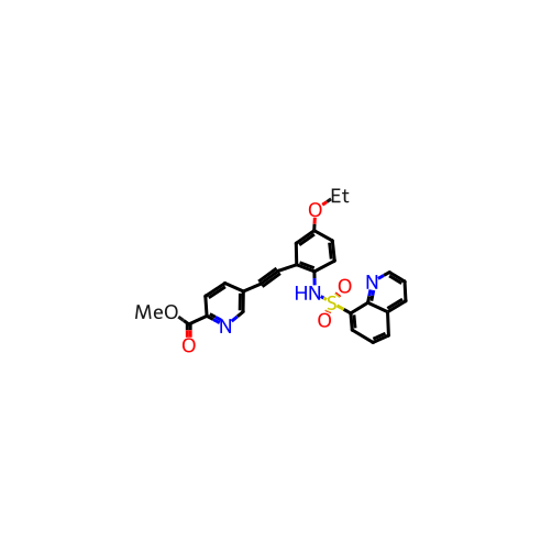 CCOc1ccc(NS(=O)(=O)c2cccc3cccnc23)c(C#Cc2ccc(C(=O)OC)nc2)c1